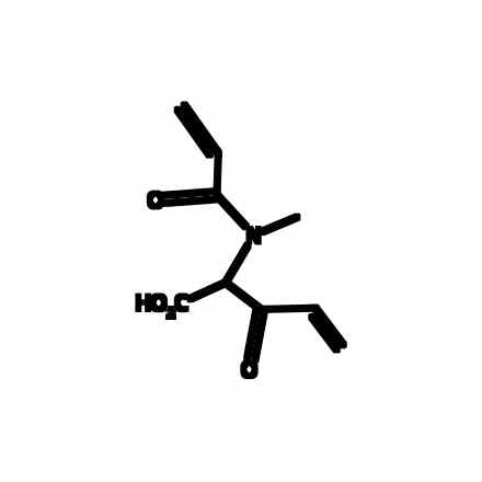 C=CC(=O)C(C(=O)O)N(C)C(=O)C=C